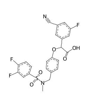 CN(Cc1ccc(OC(C(=O)O)c2cc(F)cc(C#N)c2)cc1)S(=O)(=O)c1ccc(F)c(F)c1